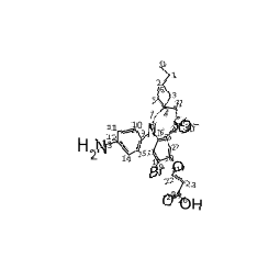 CCCCC1(CC)CN(c2ccc(N)cc2)c2cc(Br)c(O/C=C/C(=O)O)cc2[S+]([O-])C1